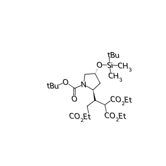 CCOC(=O)CC(C(C(=O)OCC)C(=O)OCC)[C@@H]1C[C@@H](O[Si](C)(C)C(C)(C)C)CN1C(=O)OC(C)(C)C